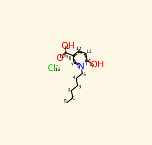 CCCCCC[n+]1cc(C(=O)O)ccc1O.[Cl-]